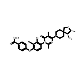 CNC(=O)c1ccc(Oc2ccc(-n3c(C)nc(N4CCC5(CC4)CO[C@@H](C)[C@H]5N)c(C)c3=O)c(Cl)c2Cl)cc1